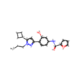 CCCn1nc(-c2ccc(NC(=O)c3ccco3)cc2O)cc1C1CCC1